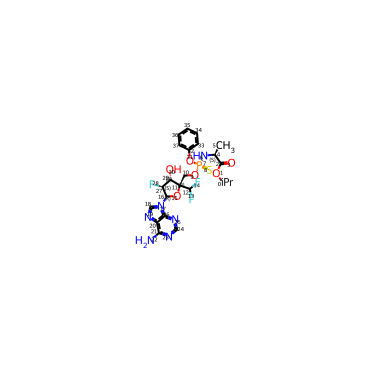 CC(C)OC(=O)[C@H](C)NP(=S)(OC[C@@]1(C(F)F)O[C@@H](n2cnc3c(N)ncnc32)[C@@H](F)[C@@H]1O)Oc1ccccc1